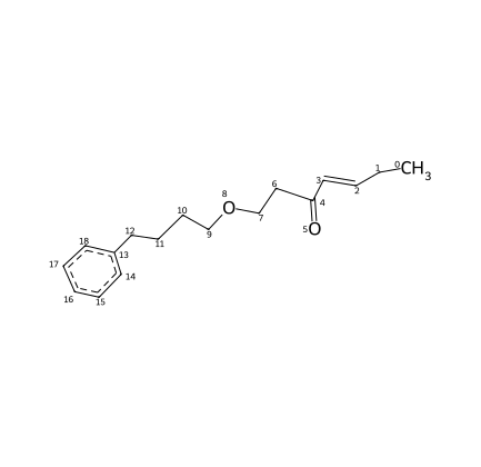 CC/C=C/C(=O)CCOCCCCc1ccccc1